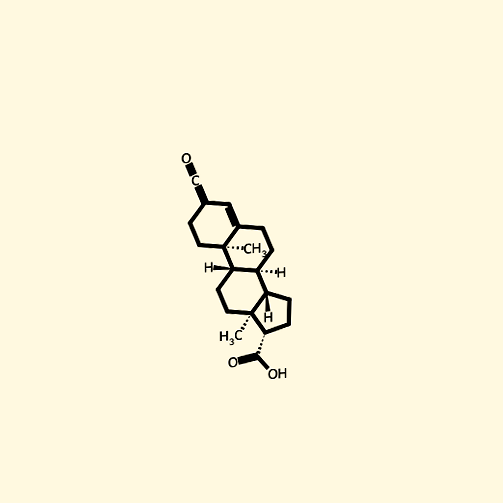 C[C@]12CC[C@H]3[C@@H](CCC4=CC(=C=O)CC[C@@]43C)[C@@H]1CC[C@@H]2C(=O)O